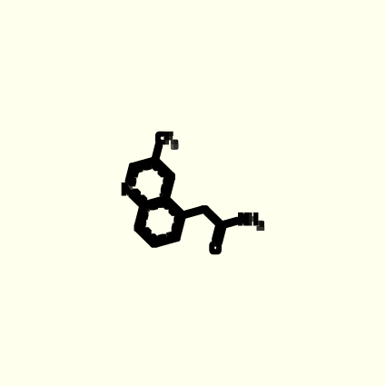 NC(=O)Cc1cccc2ncc(C(F)(F)F)cc12